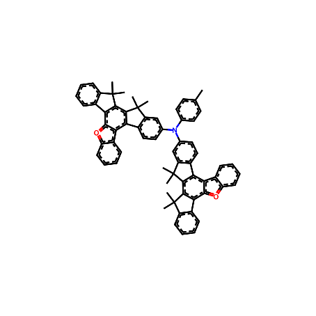 Cc1ccc(N(c2ccc3c(c2)C(C)(C)c2c4c(c5oc6ccccc6c5c2-3)-c2ccccc2C4(C)C)c2ccc3c(c2)C(C)(C)c2c4c(c5oc6ccccc6c5c2-3)-c2ccccc2C4(C)C)cc1